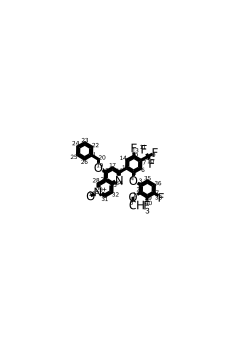 COc1c(Oc2cc(C(F)(F)F)c(F)cc2-c2cc(OCc3ccccc3)c3c[n+]([O-])ccc3n2)ccc(F)c1F